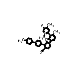 Cc1ccc(-c2ccc(-c3c(C#N)ccc4c3oc3c(-c5cc(C)c(F)c[n+]5C)c(C)ccc34)cc2)cc1